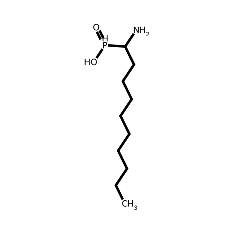 CCCCCCCCCC(N)[PH](=O)O